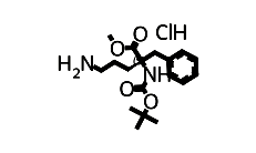 COC(=O)[C@](CCCN)(Cc1ccccc1)NC(=O)OC(C)(C)C.Cl